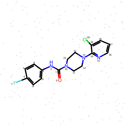 O=C(Nc1ccc(F)cc1)N1CCN(c2ncccc2Cl)CC1